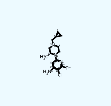 C[C@H]1CN(CC2CC2)CCN1c1cc(N)c(Cl)c(F)n1